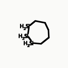 C1CC[SiH2][SiH2][SiH2]CC1